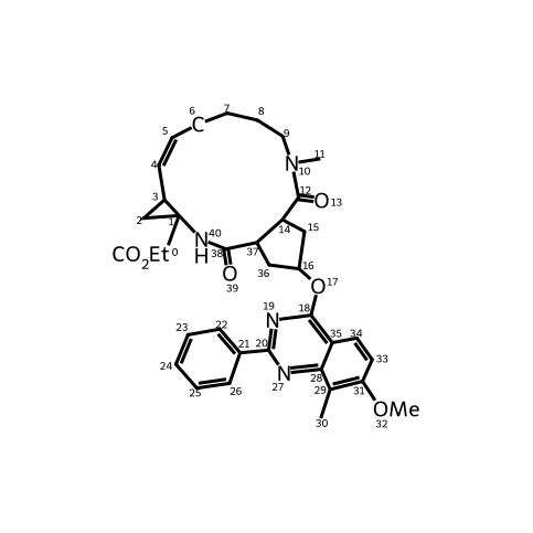 CCOC(=O)C12CC1C=CCCCCN(C)C(=O)C1CC(Oc3nc(-c4ccccc4)nc4c(C)c(OC)ccc34)CC1C(=O)N2